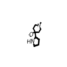 CN1CCC([O])(C2CCCN2)CC1